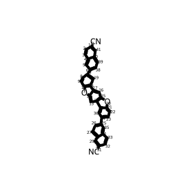 N#Cc1ccc2cc(-c3ccc4oc5cc6c(cc5c4c3)oc3ccc(-c4ccc5cc(C#N)ccc5c4)cc36)ccc2c1